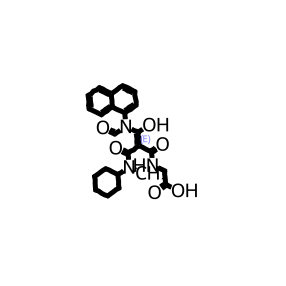 CN(C(=O)/C(C(=O)NCC(=O)O)=C(/O)N(C=O)c1cccc2ccccc12)C1CCCCC1